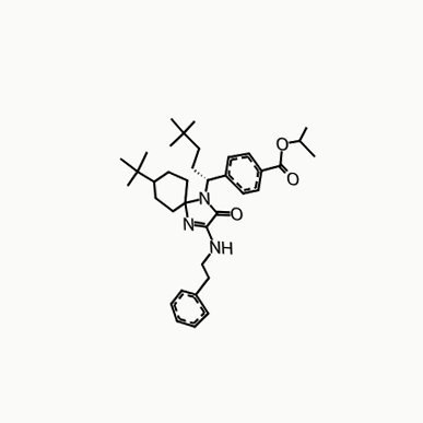 CC(C)OC(=O)c1ccc([C@@H](CCC(C)(C)C)N2C(=O)C(NCCc3ccccc3)=NC23CCC(C(C)(C)C)CC3)cc1